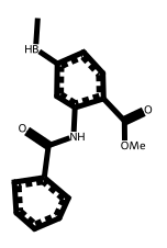 CBc1ccc(C(=O)OC)c(NC(=O)c2ccccc2)c1